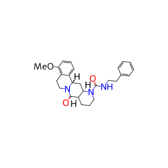 COc1cccc2c1CCN1C(=O)[C@@H]3CCCN(C(=O)NCCc4ccccc4)[C@@H]3C[C@@H]21